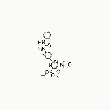 CCOC(=O)c1nc(-c2ccc(NC(=S)Nc3ccccc3)nc2)nc(N2CCOCC2)c1OCC